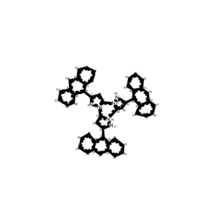 c1ccc2c(-c3cc4n(n3)c3cc(-c5c6ccccc6cc6ccccc56)nn3c3cc(-c5c6ccccc6cc6ccccc56)nn43)c3ccccc3cc2c1